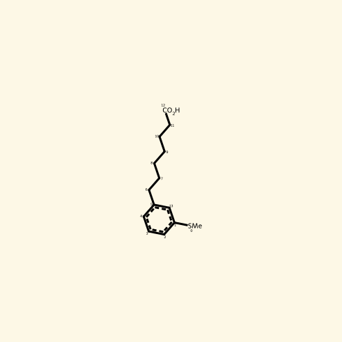 CSc1cccc(CCCCCCC(=O)O)c1